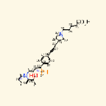 C=C([C@H](C)O)N(/C=C\C)CC/C=C(\PC)c1ccc(C#CC2C3CN(CCCCC(=O)O)CC23)cc1